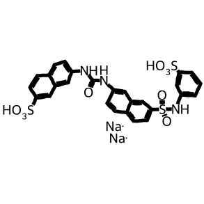 O=C(Nc1ccc2ccc(S(=O)(=O)O)cc2c1)Nc1ccc2ccc(S(=O)(=O)Nc3cccc(S(=O)(=O)O)c3)cc2c1.[Na].[Na]